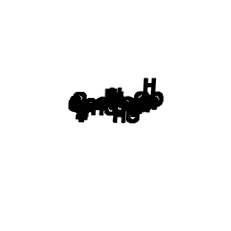 CC(=O)O[C@@H]1C[C@H](OCc2ccc(-c3nnn(CC(=O)OC[C@H]4O[C@@H](n5cc(C)c(=O)[nH]c5=O)CC4O)c3CO)cc2)C[C@H](C(C)(C)C)C1